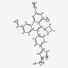 N#Cc1ccc(/C(=C(\c2ccc(C=O)cc2)c2ccc(-c3cnn(PI)c3)cc2)C2CCC2)c(Cl)c1